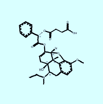 CCN(C)[C@@H]1Cc2ccc(OC)c3c2[C@@]2(C)[C@@H](O3)C(OC(=O)[C@@H](OC(=O)CCC(=O)O)c3ccccc3)=CC[C@@]12O